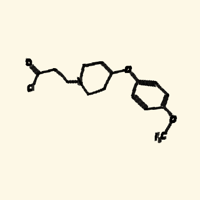 O=C(Cl)CCN1CCC(Oc2ccc(OC(F)(F)F)cc2)CC1